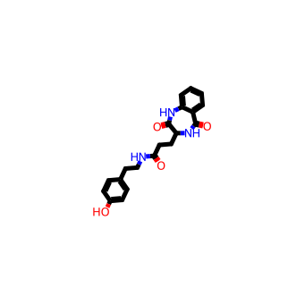 O=C(CCC1NC(=O)c2ccccc2NC1=O)NCCc1ccc(O)cc1